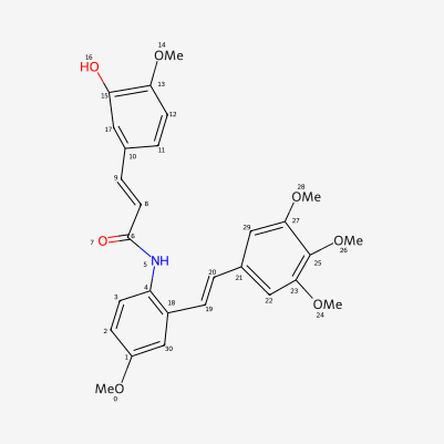 COc1ccc(NC(=O)/C=C/c2ccc(OC)c(O)c2)c(/C=C/c2cc(OC)c(OC)c(OC)c2)c1